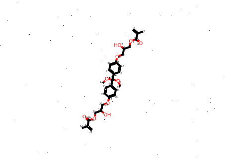 C=C(C)C(=O)OCC(O)COc1ccc(C(OC)(OC)c2ccc(OCC(O)COC(=O)C(=C)C)cc2)cc1